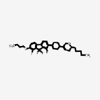 CCCCCC1CC=C(C2CCC(c3ccc4c(c3F)C(F)(F)c3c-4ccc(OCCCC)c3F)CC2)CO1